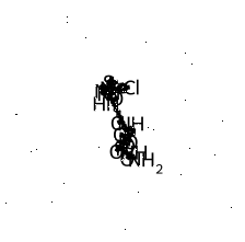 Cc1sc2c(c1C)C(c1ccc(Cl)cc1)=N[C@@H](CC(=O)NCCCCCC(=O)NCc1cccc3c1C(=O)N(C1CCC(=O)N(CNC(=O)CN)C1=O)C3=O)c1nnc(C)n1-2